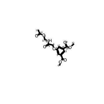 COC(=O)c1cc(OCC(=O)NCOC(C)=O)cc(C(=O)OC)c1